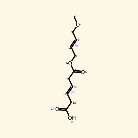 COC/C=C/COC(=O)C/C=C/CC(=O)O